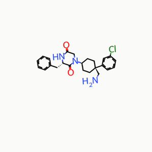 NC[C@]1(c2cccc(Cl)c2)CC[C@H](N2CC(=O)N[C@@H](Cc3ccccc3)C2=O)CC1